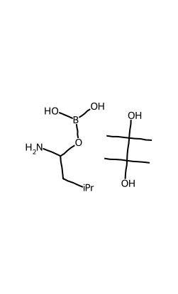 CC(C)(O)C(C)(C)O.CC(C)CC(N)OB(O)O